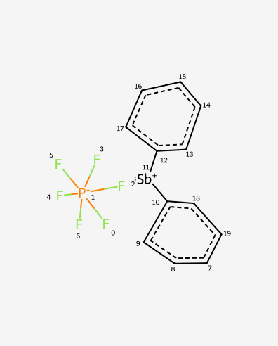 F[P-](F)(F)(F)(F)F.c1cc[c]([Sb+][c]2ccccc2)cc1